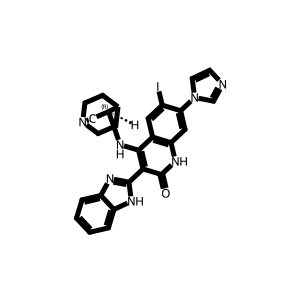 O=c1[nH]c2cc(-n3ccnc3)c(I)cc2c(N[C@H]2CN3CCC2CC3)c1-c1nc2ccccc2[nH]1